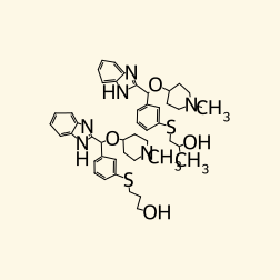 CC(O)CSc1cccc(C(OC2CCN(C)CC2)c2nc3ccccc3[nH]2)c1.CN1CCC(OC(c2cccc(SCCCO)c2)c2nc3ccccc3[nH]2)CC1